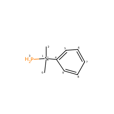 C[Si](C)(P)c1ccccc1